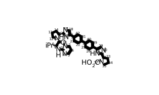 CC(C)[C@H](Nc1ncccn1)C(=O)N1CCC[C@H]1c1ncc(-c2ccc(-c3ccc(-c4cnc(C5CCCN5C(=O)O)[nH]4)cc3)cc2)[nH]1